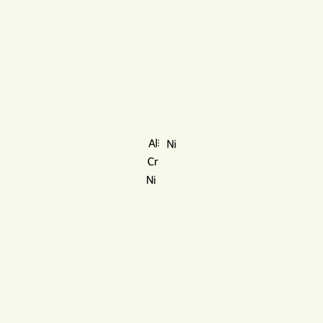 [Al].[Cr].[Ni].[Ni]